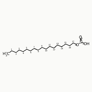 CCCCCCCCCCCCCCCCCCO[Si](=O)O